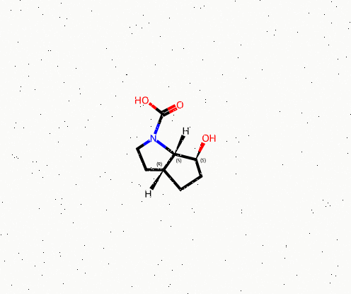 O=C(O)N1CC[C@H]2CC[C@H](O)[C@H]21